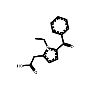 CCn1c(CC(=O)O)ccc1C(=O)c1ccccc1